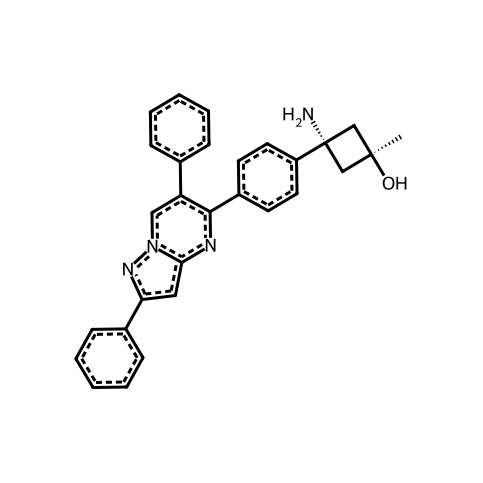 C[C@]1(O)C[C@@](N)(c2ccc(-c3nc4cc(-c5ccccc5)nn4cc3-c3ccccc3)cc2)C1